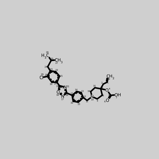 C=CCC1(OC(=O)O)CCN(Cc2ccc(-c3noc(-c4ccc(CC(C)C)c(Cl)c4)n3)cc2)CC1